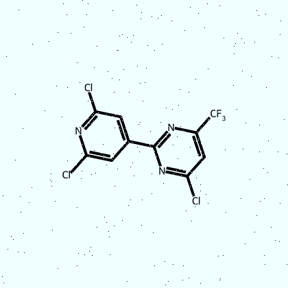 FC(F)(F)c1cc(Cl)nc(-c2cc(Cl)nc(Cl)c2)n1